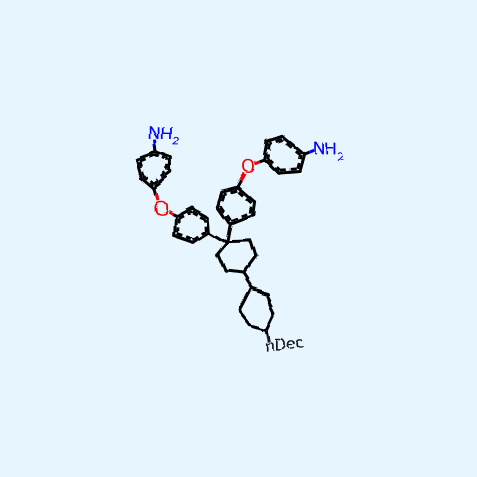 CCCCCCCCCCC1CCC(C2CCC(c3ccc(Oc4ccc(N)cc4)cc3)(c3ccc(Oc4ccc(N)cc4)cc3)CC2)CC1